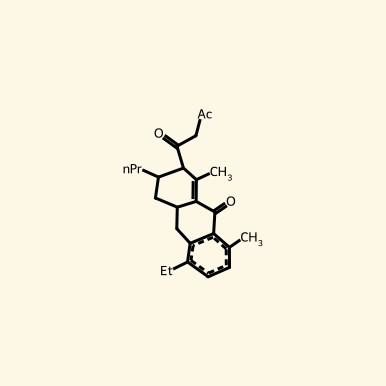 CCCC1CC2Cc3c(CC)ccc(C)c3C(=O)C2=C(C)C1C(=O)CC(C)=O